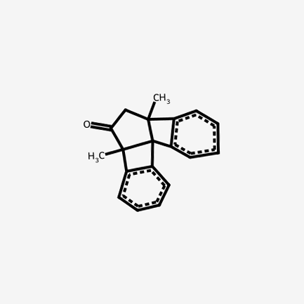 CC12CC(=O)C3(C)c4ccccc4C13c1ccccc12